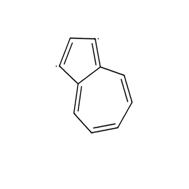 [c]1c[c]c2cccccc1-2